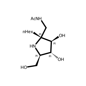 CCCCCC[C@]1(CNC(C)=O)N[C@H](CO)[C@@H](O)[C@@H]1O